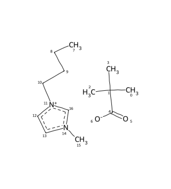 CC(C)(C)C(=O)[O-].CCCC[n+]1ccn(C)c1